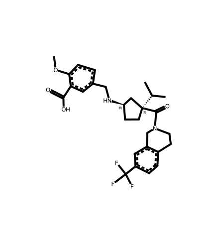 COc1ccc(CN[C@@H]2CC[C@@](C(=O)N3CCc4ccc(C(F)(F)F)cc4C3)(C(C)C)C2)cc1C(=O)O